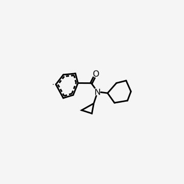 O=C(c1cc[c]cc1)N(C1CCCCC1)C1CC1